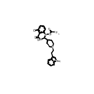 O=C1NC(C2CCN(CCc3c[nH]c4ccccc34)CC2)N(OC(=O)C(F)(F)F)c2cccc(Cl)c21